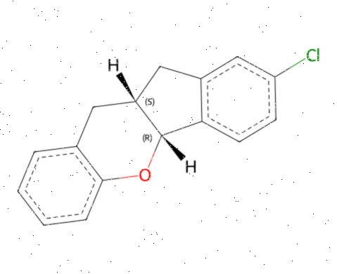 Clc1ccc2c(c1)C[C@H]1Cc3ccccc3O[C@@H]21